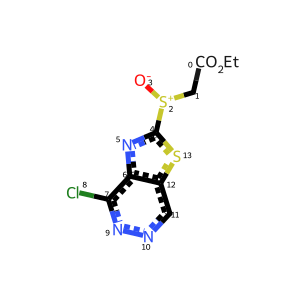 CCOC(=O)C[S+]([O-])c1nc2c(Cl)nncc2s1